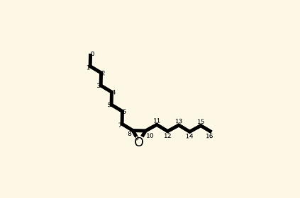 CCCCCCCCC1OC1CCCCCC